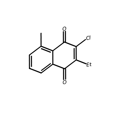 CCC1=C(Cl)C(=O)c2c(C)cccc2C1=O